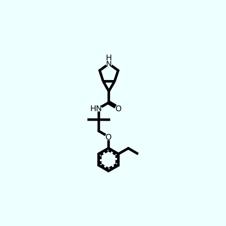 CCc1ccccc1OCC(C)(C)NC(=O)C1C2CNCC21